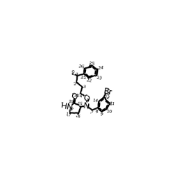 CC(CCCON(Cc1cccc(Br)c1)C1CCNC1=O)c1ccccc1